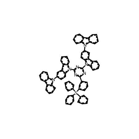 c1ccc(S(c2ccccc2)(c2ccccc2)c2cccc(-c3nc(-n4c5ccccc5c5cc(-n6c7ccccc7c7ccccc76)ccc54)nc(-n4c5ccccc5c5cc(-n6c7ccccc7c7ccccc76)ccc54)n3)c2)cc1